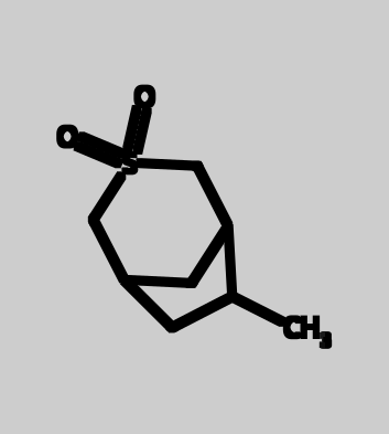 CC1CC2CC1CS(=O)(=O)C2